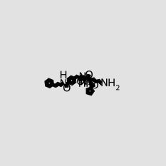 NCCCCC(NC(=O)C1CCCC1)C(=O)c1noc(Cc2ccc(C(=O)NCC=Cc3ccccc3)cc2)n1